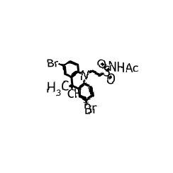 CC(=O)NS(=O)(=O)CCN1c2ccc(Br)cc2C(C)(C)c2cc(Br)ccc21